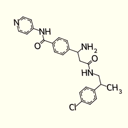 CC(CNC(=O)CC(N)c1ccc(C(=O)Nc2ccncc2)cc1)c1ccc(Cl)cc1